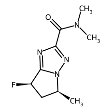 C[C@H]1C[C@@H](F)c2nc(C(=O)N(C)C)nn21